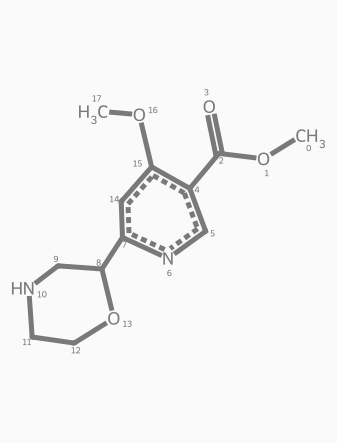 COC(=O)c1cnc(C2CNCCO2)cc1OC